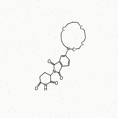 O=C1CCC(N2C(=O)c3ccc(N4CCCCCCCCCCCCC4)cc3C2=O)C(=O)N1